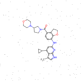 O=C(c1ccc(Nc2cc(C3CC3)c3c(C(F)(F)F)c[nH]c3n2)c2c1CCO2)N1CCC(N2CCOCC2)C1